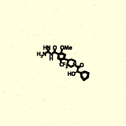 COc1cc(C2CCN(C(=O)[C@@H](O)c3ccccc3)CC2)c(C(F)(F)F)cc1C(=O)NC(=N)N